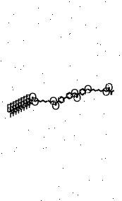 C=C(C)C(=O)OCCCCCCOc1ccc(C(=O)Oc2ccc(-c3ccc(C(=O)OCCCCCCOC(=O)C(F)(F)C(F)(F)C(F)(F)C(F)(F)C(F)(F)C(F)(F)C(F)(F)C(C)(F)F)cc3)cc2)cc1